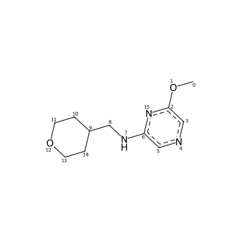 COc1cncc(NCC2CCOCC2)n1